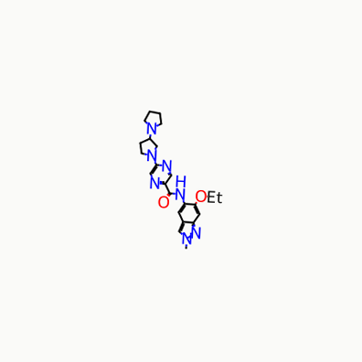 CCOc1cc2nn(C)cc2cc1NC(=O)c1cnc(N2CCC(N3CCCC3)C2)cn1